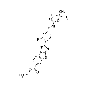 CCOC(=O)c1ccc2c(c1)sc1nc(-c3ccc(CNC(=O)OC(C)(C)C)cc3F)nn12